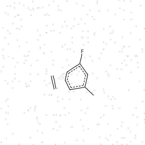 C=C.Cc1cccc(F)c1